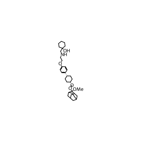 COC1(OO[C@H]2CC[C@@H](c3ccc(OCCNCC4(O)CCCCC4)cc3)CC2)C2CC3CC(C2)CC1C3